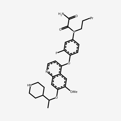 COc1cc2c(Oc3ccc(N(CCC(C)C)C(=O)C(N)=O)cc3F)ccnc2cc1OC(C)C1CCNCC1